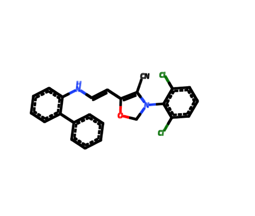 N#CC1=C(C=CNc2ccccc2-c2ccccc2)OCN1c1c(Cl)cccc1Cl